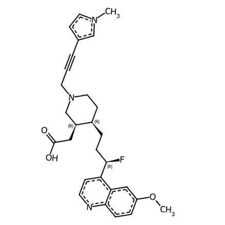 COc1ccc2nccc([C@H](F)CC[C@@H]3CCN(CC#Cc4ccn(C)c4)C[C@@H]3CC(=O)O)c2c1